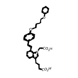 O=C(O)CCCc1cn(CC(=O)O)c2c(/C=C/c3ccc(OCCCCOc4ccccc4)cc3)cccc12